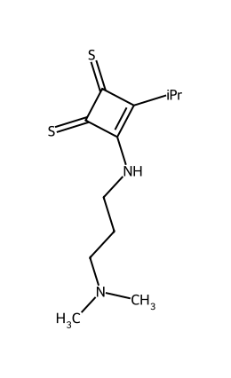 CC(C)c1c(NCCCN(C)C)c(=S)c1=S